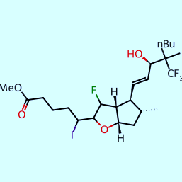 CCCCC(C)([C@H](O)/C=C/[C@@H]1[C@H]2C(F)C(C(I)CCCC(=O)OC)O[C@H]2C[C@H]1C)C(F)(F)F